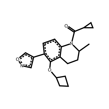 CC1CCc2c(ccc(-c3cnoc3)c2OC2CCC2)N1C(=O)C1CC1